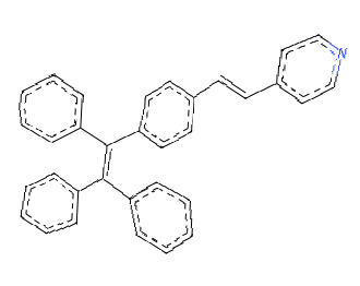 C(=C\c1ccc(C(=C(c2ccccc2)c2ccccc2)c2ccccc2)cc1)/c1ccncc1